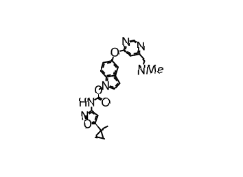 CNCc1cc(Oc2ccc3c(ccn3OC(=O)Nc3cc(C4(C)CC4)on3)c2)ncn1